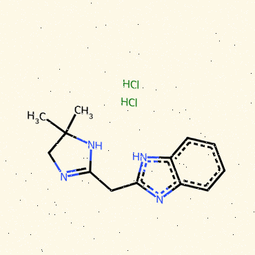 CC1(C)CN=C(Cc2nc3ccccc3[nH]2)N1.Cl.Cl